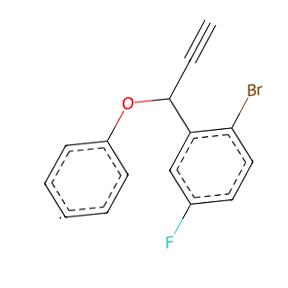 C#CC(Oc1cc[c]cc1)c1cc(F)ccc1Br